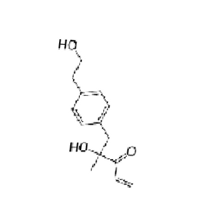 C=CC(=O)C(C)(O)Cc1ccc(CCO)cc1